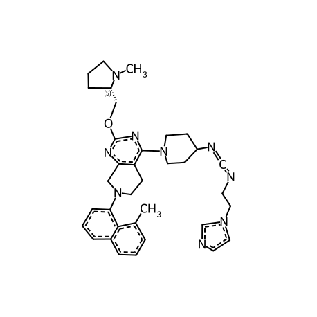 Cc1cccc2cccc(N3CCc4c(nc(OC[C@@H]5CCCN5C)nc4N4CCC(N=C=NCCn5ccnc5)CC4)C3)c12